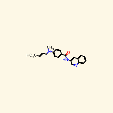 CN(CC=CC(=O)O)c1ccc(C(=O)Nc2cnc3ccccc3c2)cc1